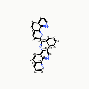 c1cnc2c(c1)ccc1ccc(-c3nc4c(cnc5c4ccc4cccnc45)c4ccccc34)nc12